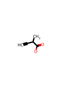 C#CC(C)C([O])=O